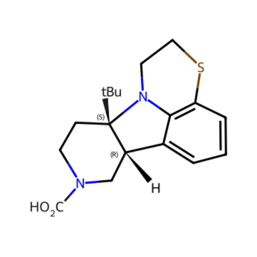 CC(C)(C)[C@]12CCN(C(=O)O)C[C@H]1c1cccc3c1N2CCS3